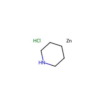 C1CCNCC1.Cl.[Zn]